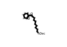 CCCCCCCCCCCCCCCCCCC1OC1C12CCCCC1O2